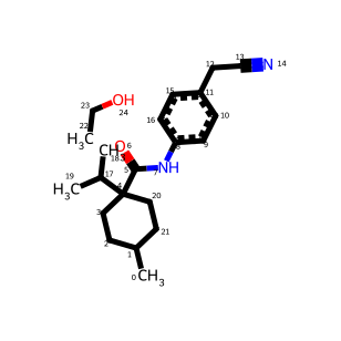 CC1CCC(C(=O)Nc2ccc(CC#N)cc2)(C(C)C)CC1.CCO